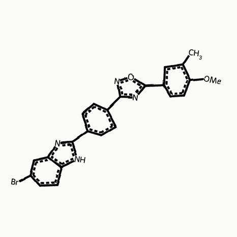 COc1ccc(-c2nc(-c3ccc(-c4nc5cc(Br)ccc5[nH]4)cc3)no2)cc1C